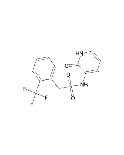 O=c1[nH]cc[c]c1NS(=O)(=O)Cc1ccccc1C(F)(F)F